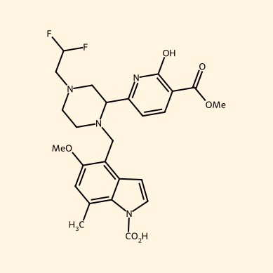 COC(=O)c1ccc(C2CN(CC(F)F)CCN2Cc2c(OC)cc(C)c3c2ccn3C(=O)O)nc1O